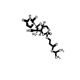 C#C[C@]1(C)[C@@H]2OP(=O)(OCCC(=O)OC(C)C)OC[C@H]2O[C@H]1n1ccc(=O)[nH]c1=O